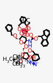 C=CCOC(=O)O[C@@H]1[C@@H](NC(=O)OCC2c3ccccc3-c3ccccc32)[C@H](OC[C@H]2O[C@@H](O[Si](C)(C)C(C)(C)C)[C@H](N=[N+]=[N-])[C@@H](O)[C@@H]2OCc2ccccc2)O[C@H](COCc2ccccc2)[C@H]1OP1(=O)OCc2ccccc2CO1